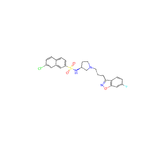 O=S(=O)(N[C@H]1CCN(CCCc2noc3cc(F)ccc23)C1)c1ccc2ccc(Cl)cc2c1